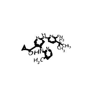 Cc1cccnc1Nc1cc(Nc2ccc(C(C)(C)C)c(F)n2)ncc1C(=O)C1CC1